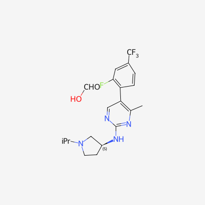 Cc1nc(N[C@H]2CCN(C(C)C)C2)ncc1-c1ccc(C(F)(F)F)cc1F.O=CO